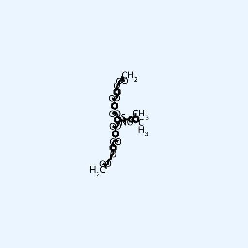 C=CC(=O)OCCCOc1ccc(OC(=O)[C@H]2CC[C@H](C(=O)Oc3ccc(OC(=O)[C@H]4CC[C@H](C(=O)Oc5ccc(OCOC(=O)C=C)cc5)CC4)c4sc(-c5cc6c(C)cc(C)cc6o5)nc34)CC2)cc1